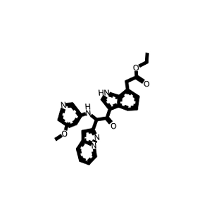 CCOC(=O)Cc1cccc2c(C(=O)C(Nc3cncc(OC)c3)c3cc4ccccn4n3)c[nH]c12